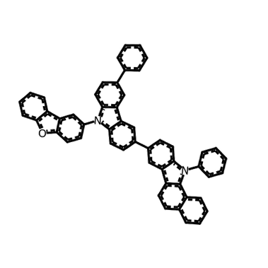 c1ccc(-c2ccc3c(c2)c2cc(-c4ccc5c(c4)c4ccc6ccccc6c4n5-c4ccccc4)ccc2n3-c2ccc3oc4ccccc4c3c2)cc1